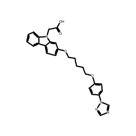 O=C(O)Cn1c2ccccc2c2ccc(OCCCCCOc3ccc(-n4cncn4)cc3)cc21